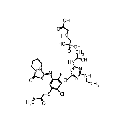 CCNc1nc(Cl)nc(NC(C)C)n1.COC(=O)CSc1cc(/N=c2\sc(=O)n3n2CCCC3)c(F)cc1Cl.O=C(O)CNCP(=O)(O)O